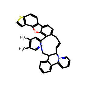 Cc1cc2[n+](cc1C)CC1c3ccccc3-c3cccc[n+]3C1/C=C/Cc1ccc3c(oc4c5ccsc5ccc34)c1-2